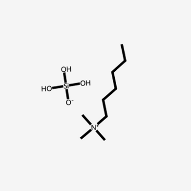 CCCCCC[N+](C)(C)C.[O-][Si](O)(O)O